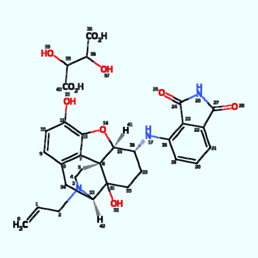 C=CCN1CC[C@]23c4c5ccc(O)c4O[C@H]2[C@H](Nc2cccc4c2C(=O)NC4=O)CCC3(O)[C@H]1C5.O=C(O)C(O)C(O)C(=O)O